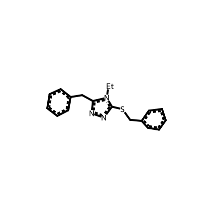 CCn1c(Cc2ccccc2)nnc1SCc1ccccc1